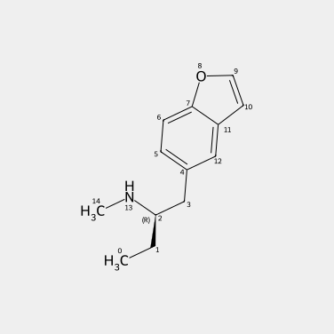 CC[C@H](Cc1ccc2occc2c1)NC